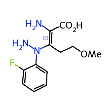 COCC/C(=C(/N)C(=O)O)N(N)c1ccccc1F